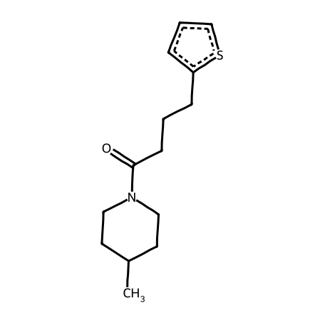 CC1CCN(C(=O)CCCc2cccs2)CC1